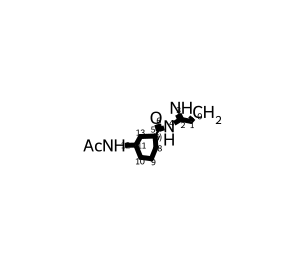 C=CC(=N)NC(=O)[C@H]1CCCC(NC(C)=O)C1